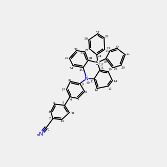 N#Cc1ccc(-c2ccc(N3c4ccccc4[Si](c4ccccc4)(c4ccccc4)c4ccccc43)cc2)cc1